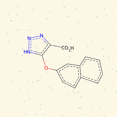 O=C(O)c1nn[nH]c1Oc1ccc2ccccc2c1